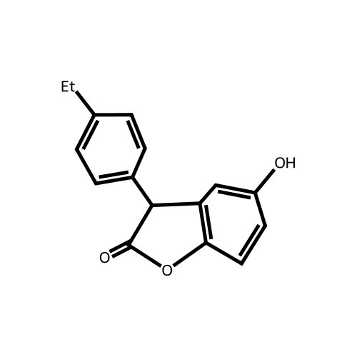 CCc1ccc(C2C(=O)Oc3ccc(O)cc32)cc1